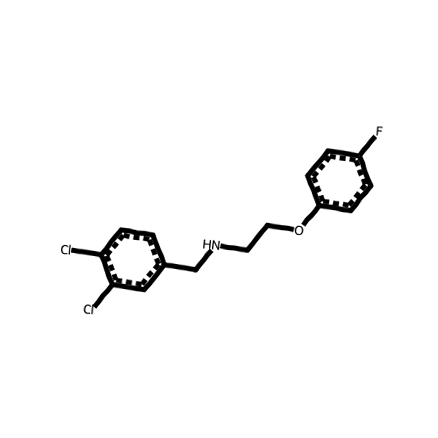 Fc1ccc(OCCNCc2ccc(Cl)c(Cl)c2)cc1